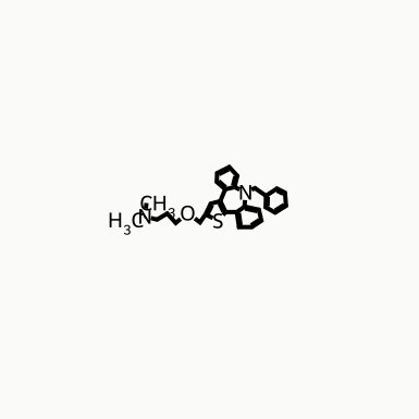 CN(C)CCCOCc1cc2c(s1)-c1ccccc1N(Cc1ccccc1)c1ccccc1-2